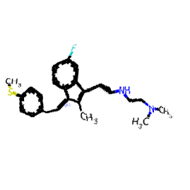 CSc1ccc(/C=C2/C(C)=C(CCNCCN(C)C)c3cc(F)ccc32)cc1